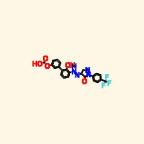 O=C(O)Oc1cccc(-c2cccc(NN=C3C=NN(c4ccc(C(F)(F)F)cc4)C3=O)c2O)c1